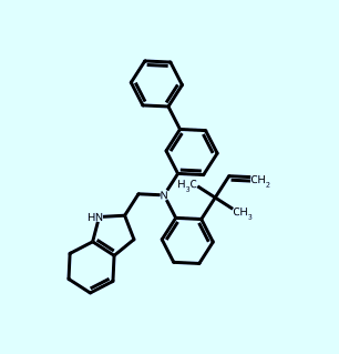 C=CC(C)(C)C1=CCCC=C1N(CC1CC2=C(CCC=C2)N1)c1cccc(-c2ccccc2)c1